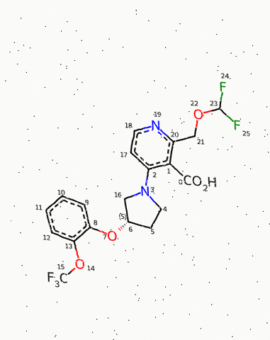 O=C(O)c1c(N2CC[C@H](Oc3ccccc3OC(F)(F)F)C2)ccnc1COC(F)F